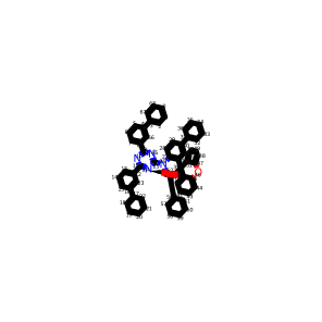 c1ccc(-c2cccc(-c3nc(-c4cccc(-c5ccccc5)c4)nc(N4c5ccc(-c6ccccc6)cc5C5(c6ccccc6Oc6ccccc65)c5cc(-c6ccccc6)ccc54)n3)c2)cc1